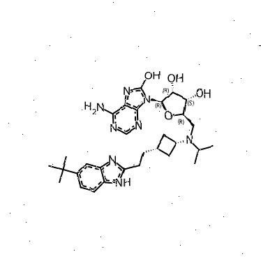 CC(C)N(C[C@H]1O[C@@H](n2c(O)nc3c(N)ncnc32)[C@H](O)[C@@H]1O)[C@H]1C[C@@H](CCc2nc3cc(C(C)(C)C)ccc3[nH]2)C1